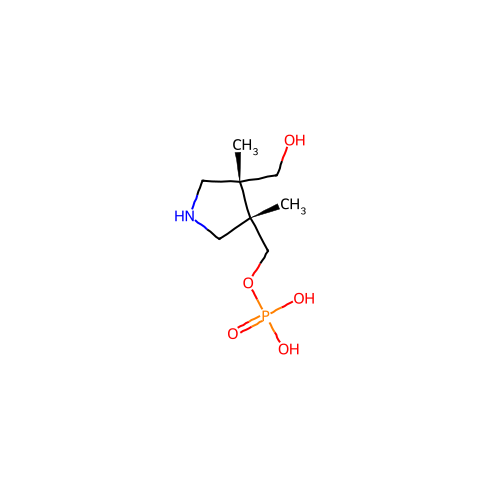 C[C@]1(CO)CNC[C@@]1(C)COP(=O)(O)O